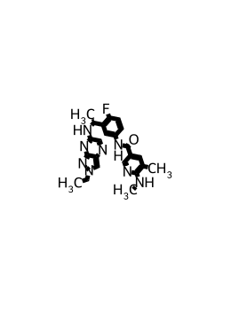 CCn1cc2ncc(N[C@@H](C)c3cc(NC(=O)c4cnc(NC)c(C)c4)ccc3F)nc2n1